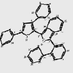 c1ccc(-c2cc(-c3ccccc3)c(-c3sc(-c4ccccc4-c4ccccc4)c4ccccc34)s2)cc1